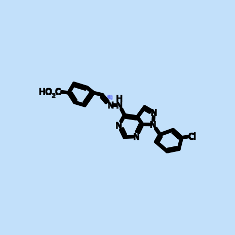 O=C(O)c1ccc(/C=N/Nc2ncnc3c2cnn3-c2cccc(Cl)c2)cc1